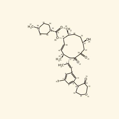 C/C(=C\c1cc(F)cc(N2CCOCC2=O)c1)[C@H]1C(=O)C(=O)C[C@H](O)CC[C@H](C)[C@@H](OC(=O)N2CCN(C)CC2)/C=C/[C@@H]1C